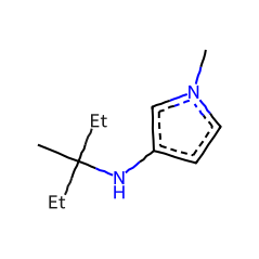 CCC(C)(CC)Nc1ccn(C)c1